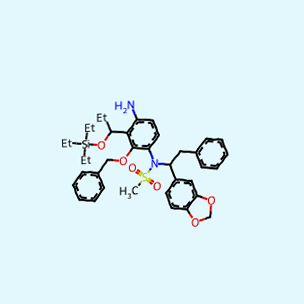 CCC(O[Si](CC)(CC)CC)c1c(N)ccc(N(C(Cc2ccccc2)c2ccc3c(c2)OCO3)S(C)(=O)=O)c1OCc1ccccc1